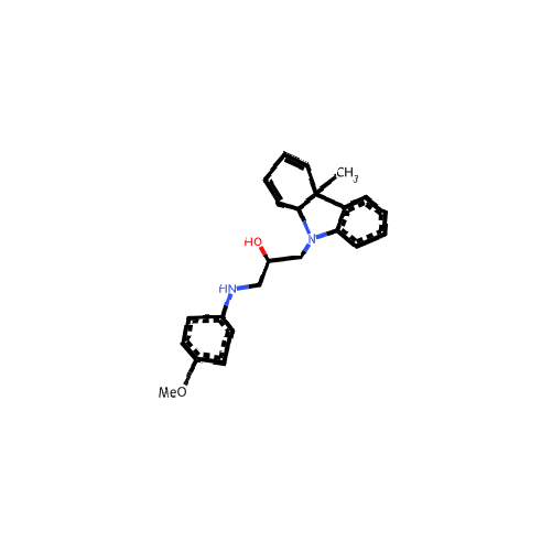 COc1ccc(NCC(O)CN2c3ccccc3C3(C)C=CC=CC23)cc1